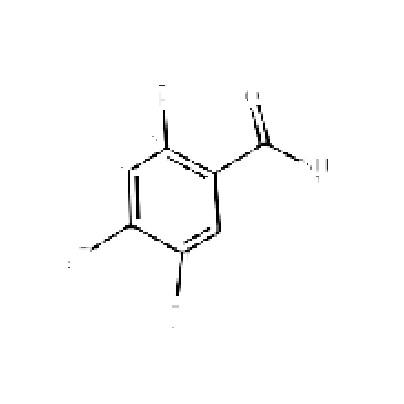 NC(=O)c1cc(F)c(F)cc1F